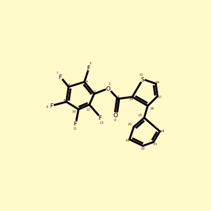 O=C(Oc1c(F)c(F)c(F)c(F)c1F)c1sccc1-c1ccccc1